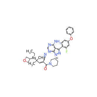 CC[As](C1COC1)C(C)(C)C=C(C#N)C(=O)N1CCC[C@@H](n2nc(-c3ccc(Oc4ccccc4)cc3F)c3c(N)ncnc32)C1